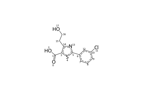 O=C(O)c1sc(-c2cccc(Cl)c2)nc1CCO